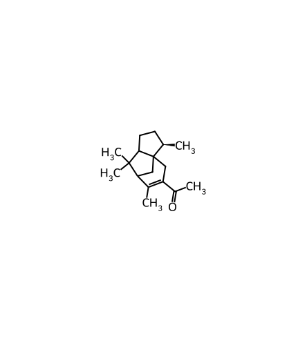 CC(=O)C1=C(C)C2CC3(C1)C(CC[C@H]3C)C2(C)C